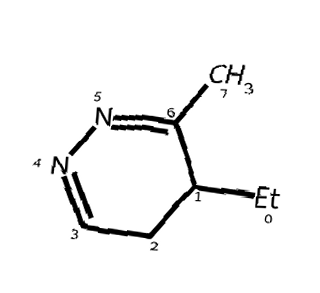 CCC1CC=NN=C1C